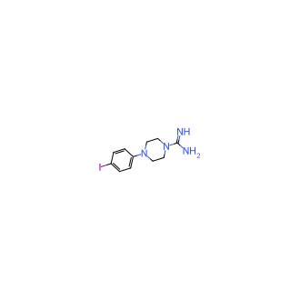 N=C(N)N1CCN(c2ccc(I)cc2)CC1